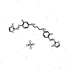 Cc1cc(NCCCNc2ccc(/N=N/c3scc[n+]3C)c(C)c2)ccc1/N=N/c1scc[n+]1C.O=S(=O)([O-])[O-]